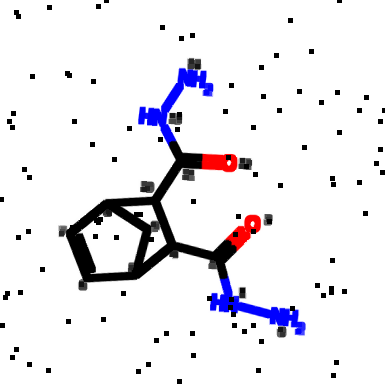 NNC(=O)C1C2C=CC(C2)C1C(=O)NN